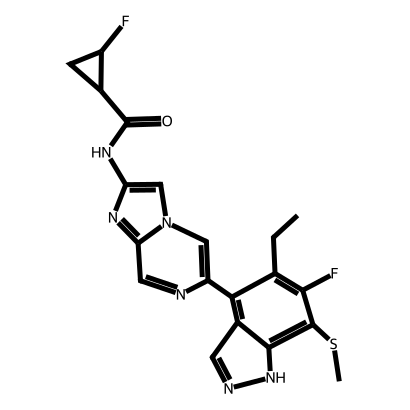 CCc1c(F)c(SC)c2[nH]ncc2c1-c1cn2cc(NC(=O)C3CC3F)nc2cn1